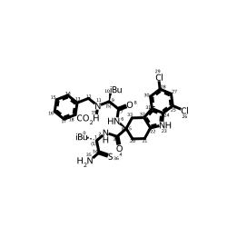 CCC(C)[C@H](NC(=O)[C@@]1(NC(=O)[C@H](C(C)CC)N(Cc2ccccc2)C(=O)O)CCc2[nH]c3c(Cl)cc(Cl)cc3c2C1)C(N)=S